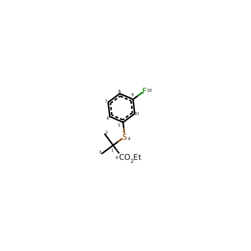 CCOC(=O)C(C)(C)Sc1cccc(F)c1